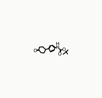 CC(C)(C)OC(=O)Nc1ccc(C2CCC(=O)CC2)cc1